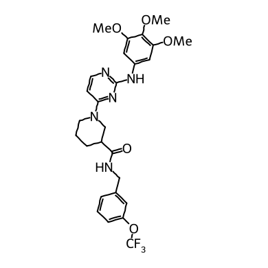 COc1cc(Nc2nccc(N3CCCC(C(=O)NCc4cccc(OC(F)(F)F)c4)C3)n2)cc(OC)c1OC